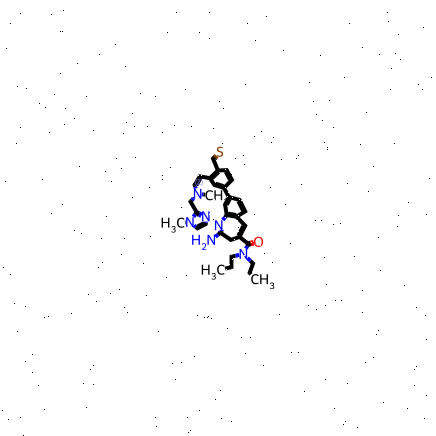 CCCN(CCC)C(=O)C1=Cc2ccc(-c3ccc(C=S)c(/C=C\N(C)Cc4nccn4C)c3)cc2N=C(N)C1